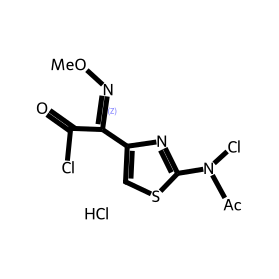 CO/N=C(\C(=O)Cl)c1csc(N(Cl)C(C)=O)n1.Cl